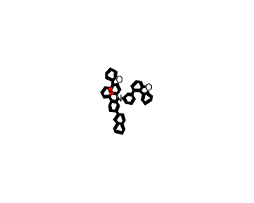 c1ccc(-c2ccc(-c3ccc4ccccc4c3)cc2N(c2cccc(-c3cccc4oc5ccccc5c34)c2)c2ccc3c(c2)oc2ccccc23)cc1